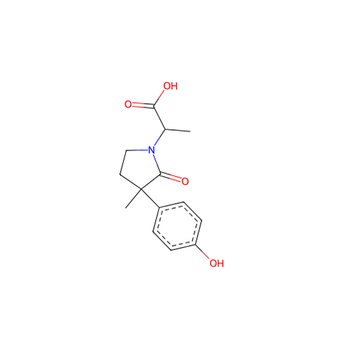 CC(C(=O)O)N1CCC(C)(c2ccc(O)cc2)C1=O